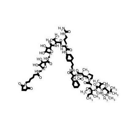 CC[C@H](C)[C@@H]([C@@H](CC(=O)N1CCC[C@H]1[C@H](OC)[C@@H](C)C(=O)NC(Cc1ccccc1)C(=O)NCCc1ccc(NC(=O)[C@@H](CCCNC(N)=O)NC(=O)C(NC(=O)C2O[C@H](CNC(=O)C3O[C@H](CNC(=O)CCCCCN4C(=O)C=CC4=O)C(O)C3O)C(O)C2O)C(C)C)cc1)OC)N(C)C(=O)C(NC(=O)[C@H](C(C)C)N(C)C)C(C)C